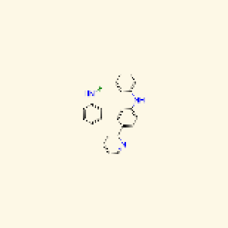 FNc1ccccc1.c1ccc(Nc2ccc(-c3ccccn3)cc2)cc1